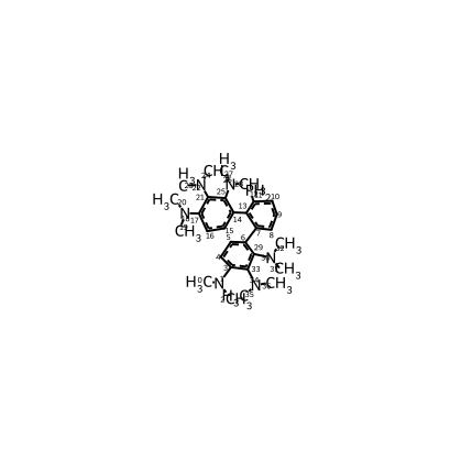 CN(C)c1ccc(-c2cccc(P)c2-c2ccc(N(C)C)c(N(C)C)c2N(C)C)c(N(C)C)c1N(C)C